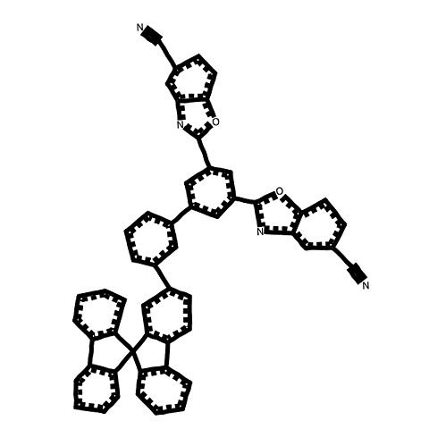 N#Cc1ccc2oc(-c3cc(-c4cccc(-c5ccc6c(c5)C5(c7ccccc7-c7ccccc75)c5ccccc5-6)c4)cc(-c4nc5cc(C#N)ccc5o4)c3)nc2c1